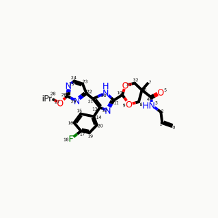 C=CCNC(=O)C1(C)COC(c2nc(-c3ccc(F)cc3)c(-c3ccnc(OC(C)C)n3)[nH]2)OC1